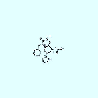 COC(=O)[C@H](Cc1ccccc1)NC(=O)[C@H](CC(=O)O)NC(=O)[C@H]1CCCN1